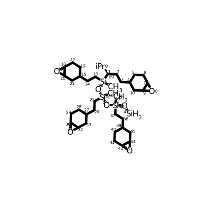 CC(C)[C@@H](CCC1CCC2OC2C1)[Si](C)(CCC1CCC2OC2C1)O[Si](C)(CCC1CCC2OC2C1)O[Si](C)(CCC1CCC2OC2C1)O[SiH3]